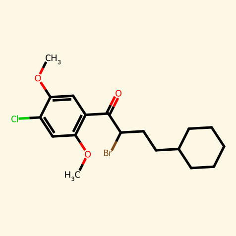 COc1cc(C(=O)C(Br)CCC2CCCCC2)c(OC)cc1Cl